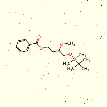 COC(CCOC(=O)c1ccccc1)CO[Si](C)(C)C(C)(C)C